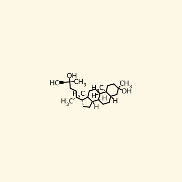 C#C[C@](C)(O)CC[C@@H](C)[C@H]1CC[C@H]2[C@@H]3CC[C@H]4C[C@@](C)(O)CC[C@]4(C)[C@H]3CC[C@]12C